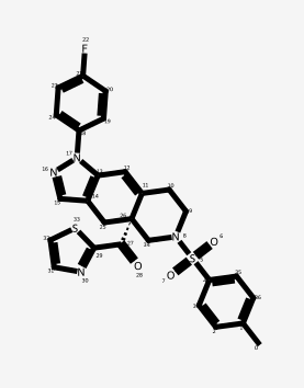 Cc1ccc(S(=O)(=O)N2CCC3=Cc4c(cnn4-c4ccc(F)cc4)C[C@]3(C(=O)c3nccs3)C2)cc1